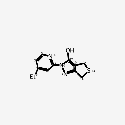 CCc1ccnc(-n2nc3c(c2O)CSC3)c1